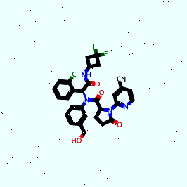 N#Cc1ccnc(N2C(=O)CCC2C(=O)N(c2cccc(CO)c2)[C@H](C(=O)NC2CC(F)(F)C2)c2ccccc2Cl)c1